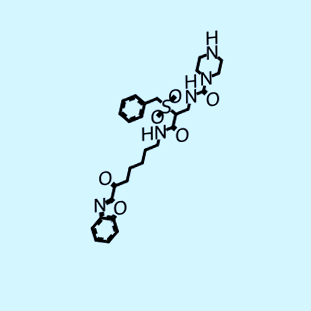 O=C(CCCCCNC(=O)C(CNC(=O)N1CCNCC1)S(=O)(=O)Cc1ccccc1)c1nc2ccccc2o1